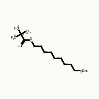 CCCCCCCCCCCCCCCCCCCOC(=O)C(O)(C(F)(F)F)C(F)(F)F